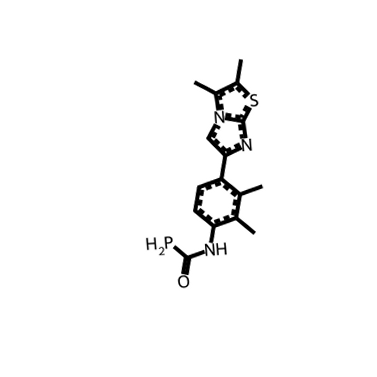 Cc1sc2nc(-c3ccc(NC(=O)P)c(C)c3C)cn2c1C